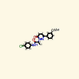 COc1cccc(-c2ccc(=O)n(C(C)C(=O)Nc3ccc(Cl)cc3)n2)c1